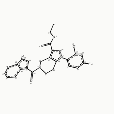 CCOC(=O)c1nn(-c2ccc(F)cc2Cl)c2c1CN(C(=O)c1c[nH]c3ccccc13)CC2